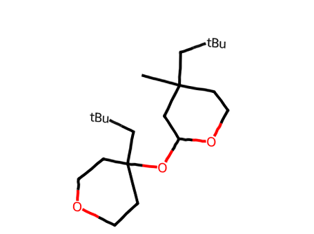 CC(C)(C)CC1(C)CCOC(OC2(CC(C)(C)C)CCOCC2)C1